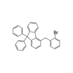 Brc1ccccc1Cc1cccc2c1-c1ccccc1C2(c1ccccc1)c1ccccc1